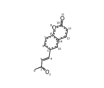 CC(=O)C=Cc1ccc2oc(=O)ccc2c1